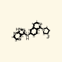 F[C@H]1CCN(c2nccc3cc(Nc4n[nH]c5nccnc45)ccc23)C1